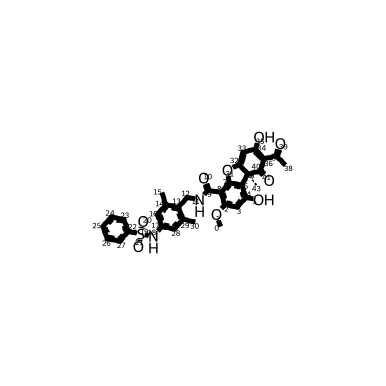 COc1cc(O)c2c(c1C(=O)NCc1c(C)cc(NS(=O)(=O)c3ccccc3)cc1C)OC1=CC(O)=C(C(C)=O)C(=O)[C@]12C